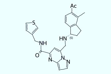 CC(=O)c1ccc2c(c1C)CC[C@@H]2NCc1cc(C(=O)NCc2ccsc2)nc2ccnn12